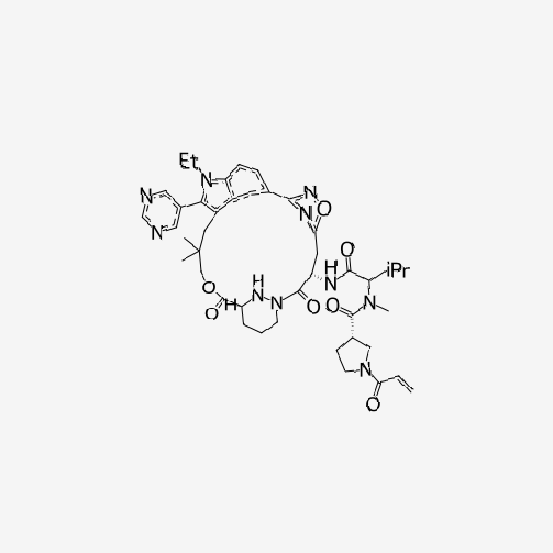 C=CC(=O)N1CC[C@H](C(=O)N(C)C(C(=O)N[C@H]2Cc3nc(no3)-c3ccc4c(c3)c(c(-c3cncnc3)n4CC)CC(C)(C)COC(=O)[C@@H]3CCCN(N3)C2=O)C(C)C)C1